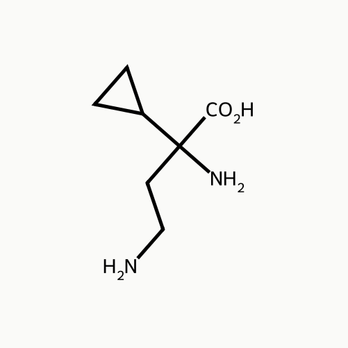 NCCC(N)(C(=O)O)C1CC1